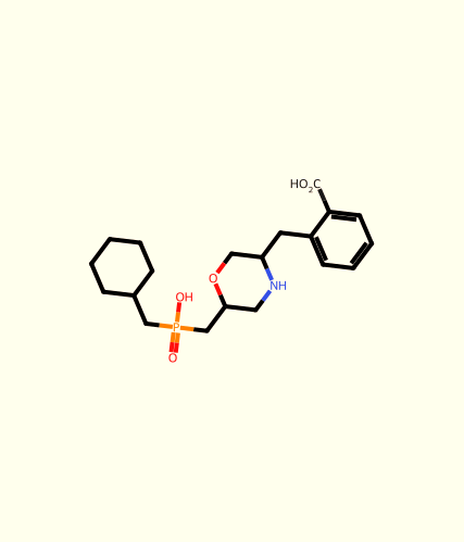 O=C(O)c1ccccc1CC1COC(CP(=O)(O)CC2CCCCC2)CN1